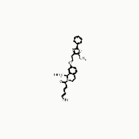 CCCC=CC=CC(=O)N1CCc2ccc(OCCc3nc(-c4ccccc4)oc3C)cc2C1C(=O)O